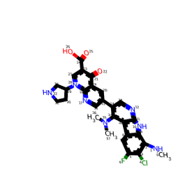 CNc1c(Cl)c(F)cc2c1[nH]c1ncc(-c3cnc4c(c3)c(=O)c(C(=O)O)cn4C3CCNC3)c(N(C)C)c12